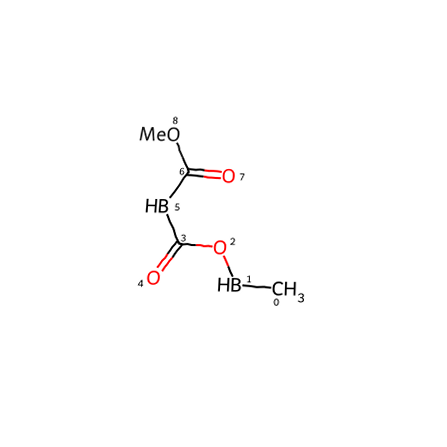 CBOC(=O)BC(=O)OC